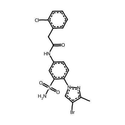 Cc1nn(-c2ccc(NC(=O)Cc3ccccc3Cl)cc2S(N)(=O)=O)cc1Br